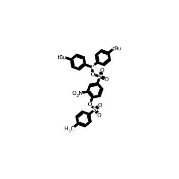 Cc1ccc(S(=O)(=O)Oc2ccc(S(=O)(=O)O[I+](c3ccc(C(C)(C)C)cc3)c3ccc(C(C)(C)C)cc3)cc2[N+](=O)[O-])cc1